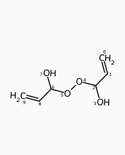 C=CC(O)OOC(O)C=C